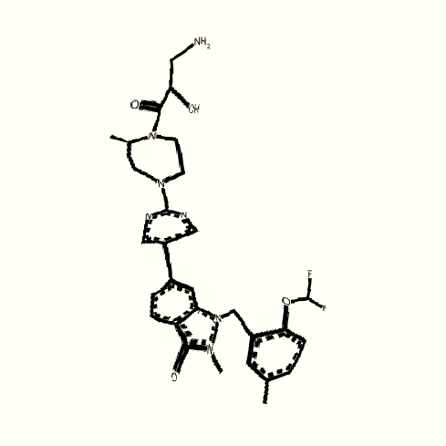 Cc1ccc(OC(F)F)c(Cn2c3cc(-c4cnc(N5CCN(C(=O)C(O)CN)[C@H](C)C5)nc4)ccc3c(=O)n2C)c1